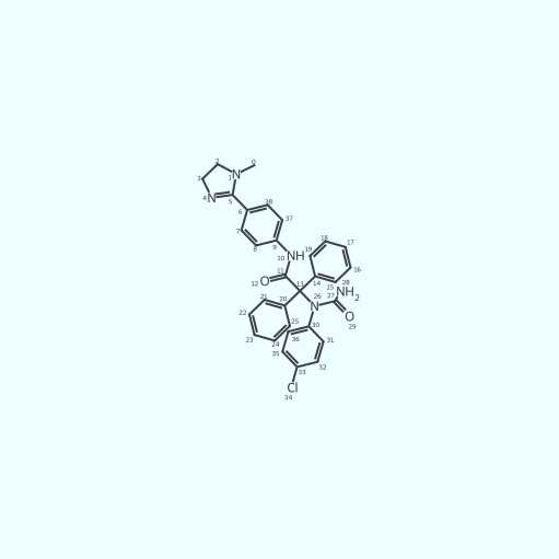 CN1CCN=C1c1ccc(NC(=O)C(c2ccccc2)(c2ccccc2)N(C(N)=O)c2ccc(Cl)cc2)cc1